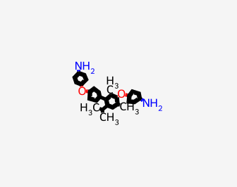 Cc1cc(C(C)C)c(-c2ccc(Oc3ccc(N)cc3)cc2)c(C)c1Oc1ccc(N)cc1